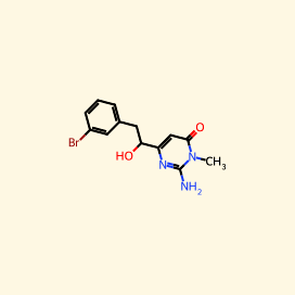 Cn1c(N)nc(C(O)Cc2cccc(Br)c2)cc1=O